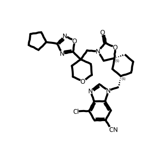 N#Cc1cc(Cl)c2ncn(C[C@H]3CCC[C@]4(C3)CN(CC3(c5nc(C6CCCC6)no5)CCOCC3)C(=O)O4)c2c1